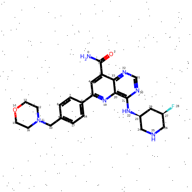 NC(=O)c1cc(-c2ccc(CN3CCOCC3)cc2)nc2c(N[C@@H]3CNC[C@H](F)C3)ncnc12